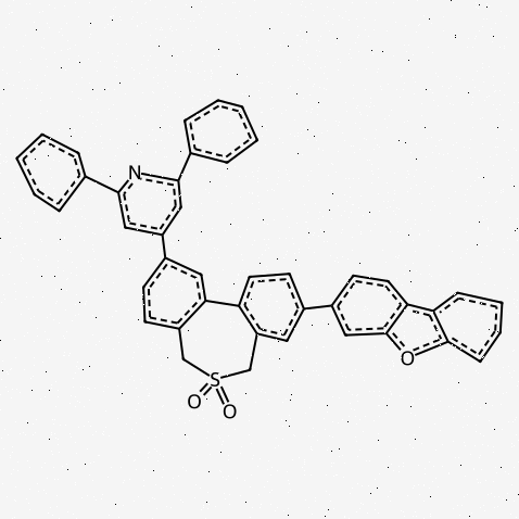 O=S1(=O)Cc2cc(-c3ccc4c(c3)oc3ccccc34)ccc2-c2cc(-c3cc(-c4ccccc4)nc(-c4ccccc4)c3)ccc2C1